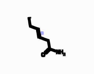 [CH2]C/C=C/CC(N)=O